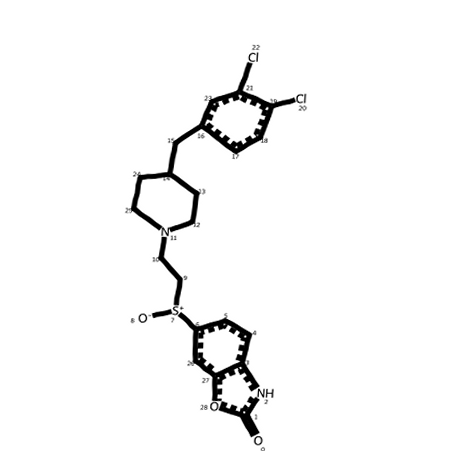 O=c1[nH]c2ccc([S+]([O-])CCN3CCC(Cc4ccc(Cl)c(Cl)c4)CC3)cc2o1